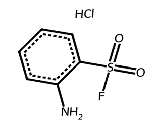 Cl.Nc1ccccc1S(=O)(=O)F